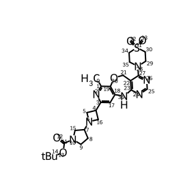 Cc1nc(C2CN(C3CCN(C(=O)OC(C)(C)C)C3)C2)cc2c1OCc1c(ncnc1N1CCS(=O)(=O)CC1)N2